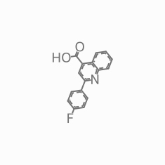 O=C(O)c1cc(-c2ccc(F)cc2)nc2ccccc12